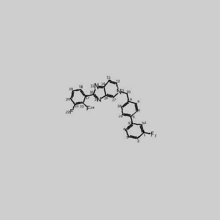 Fc1cccc(-c2ccc(Cn3ccc4nc(-c5cccc(F)c5F)nc-4c3)cc2)c1